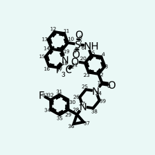 O=C(c1ccc(NS(=O)(=O)c2cccc3cccnc23)c(OC(F)(F)F)c1)N1CCN(C2(c3ccc(F)cc3)CC2)CC1